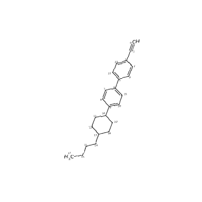 C#Cc1ccc(-c2ccc(C3CCC(CCCC)CC3)cc2)cc1